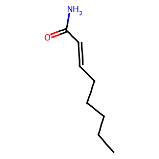 CCCCC/C=C/C(N)=O